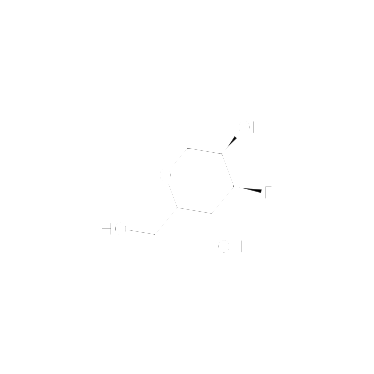 OCC1OC[C@@H](O)[C@@H](F)[C@@H]1O